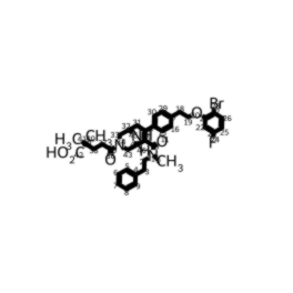 CN(CCc1ccccc1)C(=O)C1=C(c2ccc(CCOc3cc(F)ccc3Br)cc2)CC2CN(C(=O)CCC(C)(C)C(=O)O)C[C@H]1N2